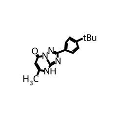 Cc1cc(=O)n2nc(-c3ccc(C(C)(C)C)cc3)nc2[nH]1